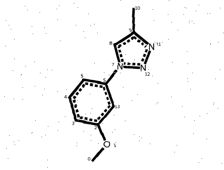 COc1cccc(-n2cc(C)nn2)c1